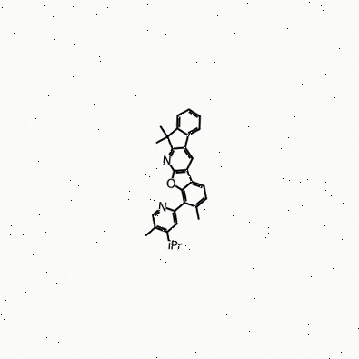 Cc1cnc(-c2c(C)ccc3c2oc2nc4c(cc23)-c2ccccc2C4(C)C)cc1C(C)C